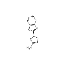 NC1=CCC(c2nc3cnccc3o2)S1